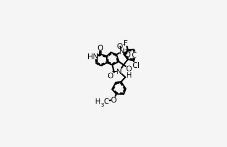 COc1ccc(CN2C(=O)c3c(c([N+](=O)[O-])cc4c(=O)[nH]ccc34)C2(O)c2cc(F)ccc2Cl)cc1